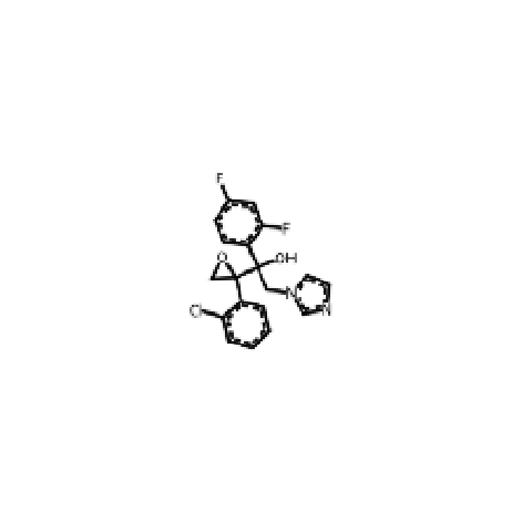 OC(Cn1ccnc1)(c1ccc(F)cc1F)C1(c2ccccc2Cl)CO1